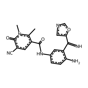 Cc1c(C(=O)Nc2ccc(N)c(C(=N)c3cnco3)c2)cc(C#N)c(=O)n1C